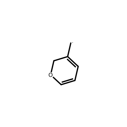 [CH2]C1=CC=COC1